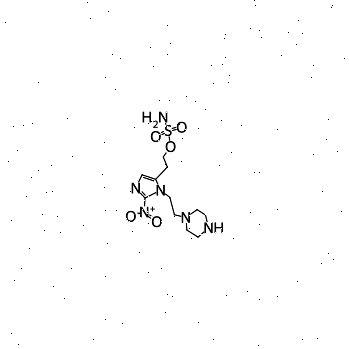 NS(=O)(=O)OCCc1cnc([N+](=O)[O-])n1CCN1CCNCC1